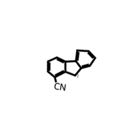 N#Cc1cccc2c1[C]c1ccccc1-2